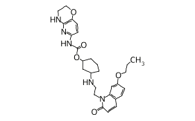 CCCOc1ccc2ccc(=O)n(CCNC3CCCC(OC(=O)Nc4ccc5c(n4)NCCO5)C3)c2c1